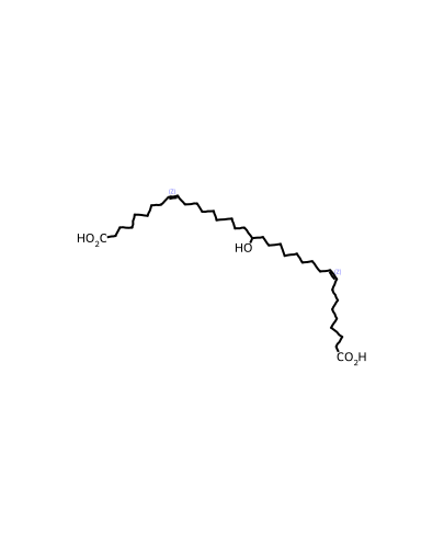 O=C(O)CCCCCCC/C=C\CCCCCCCCC(O)CCCCCCCC/C=C\CCCCCCCC(=O)O